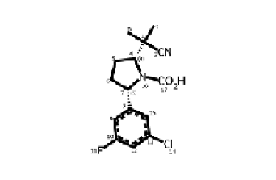 CC(C)(C#N)[C@H]1CC[C@@H](c2cc(F)cc(Cl)c2)N1C(=O)O